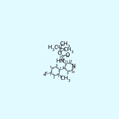 Cc1cc(F)ccc1-c1ccncc1NC(=O)OC(C)(C)C